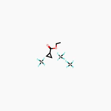 CCOC(=O)C1CC1.F[B-](F)(F)F.F[B-](F)(F)F.F[B-](F)(F)F